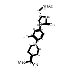 CSC(C#N)=C1CCN(c2ccc(N3C[C@H](CNC(C)=O)OC3=O)cc2F)CC1